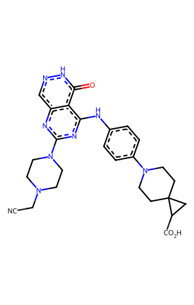 N#CCN1CCN(c2nc(Nc3ccc(N4CCC5(CC4)CC5C(=O)O)cc3)c3c(=O)[nH]ncc3n2)CC1